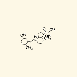 C=C1CC[C@H](O)CC1=C/C=C1\CCC[C@@]2(C)[C@H]1CC[C@@]2(O)C(=O)CO